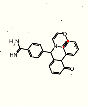 N=C(N)c1ccc(C(C2=CC=CC(=O)C2c2ccccc2)N2C=COC=C2)cc1